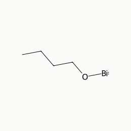 CCCC[O][Bi]